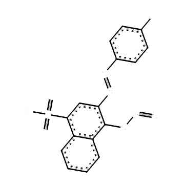 N=NNc1c(/N=N/c2ccc(Cl)cc2)cc(S(=O)(=O)O)c2ccccc12